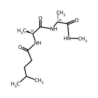 CNC(=O)[C@@H](C)NC(=O)[C@H](C)NC(=O)CCC(C)C